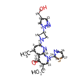 Cc1cc(N2CC(n3cc(CO)cn3)C2)nc2c1c(=O)c(C(=O)O)cn2-c1nccs1